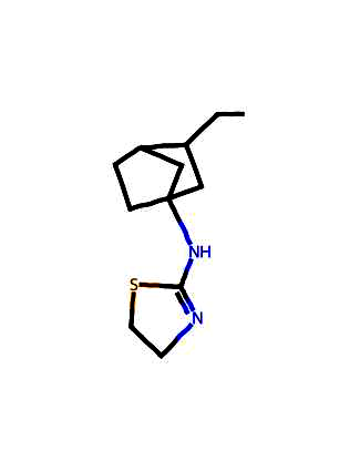 CCC1CC2(NC3=NCCS3)CCC1C2